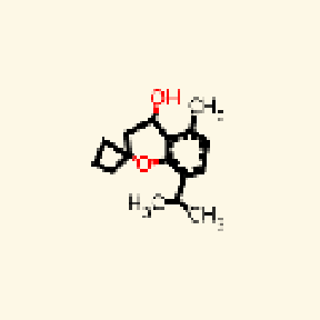 Cc1ccc(C(C)C)c2c1C(O)CC1(CCC1)O2